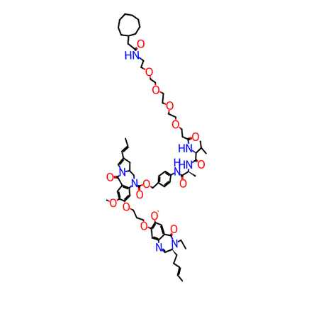 C/C=C/CC[C@H]1C=Nc2cc(OCCCOc3cc4c(cc3OC)C(=O)N3C=C(/C=C/C)CC3CN4C(=O)OCc3ccc(NC(=O)[C@H](C)NC(=O)[C@@H](NC(=O)CCOCCOCCOCCOCCNC(=O)CC4CCCCCCCC4)C(C)C)cc3)c(OC)cc2C(=O)N1CC